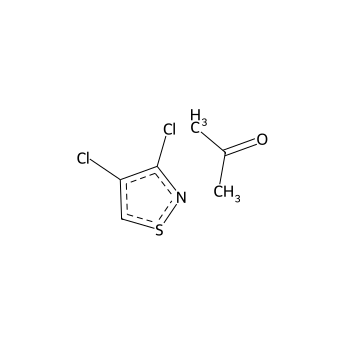 CC(C)=O.Clc1csnc1Cl